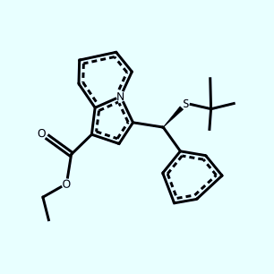 CCOC(=O)c1cc([C@@H](SC(C)(C)C)c2ccccc2)n2ccccc12